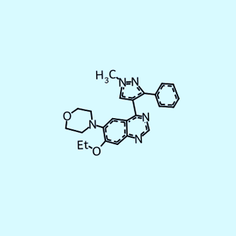 CCOc1cc2ncnc(-c3cn(C)nc3-c3ccccc3)c2cc1N1CCOCC1